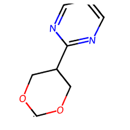 [c]1cnc(C2CO[CH]OC2)nc1